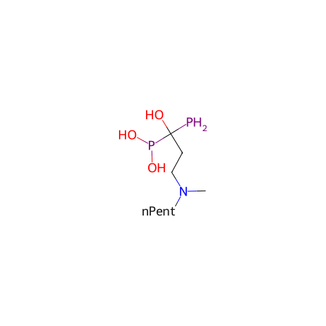 CCCCCN(C)CCC(O)(P)P(O)O